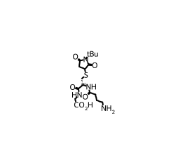 CC(C)(C)N1C(=O)CC(SC[C@H](NC(=O)CCCN)C(=O)NCC(=O)O)C1=O